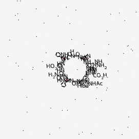 CC[C@H](C)[C@H](NC(C)=O)C(=O)N[C@H]1CSSC[C@@H](C(=O)N[C@@H](C(=O)O)[C@@H](C)O)NC(=O)[C@H](CCCNC(=N)N)NC(=O)[C@@H](Cc2cnc[nH]2)NC(=O)[C@@H](C)NC(=O)CNC(=O)[C@H](Cc2c[nH]c3ccccc23)NC(=O)[C@@H](CC(=O)O)NC(=O)[C@H](CCC(N)=O)NC(=O)[C@@H](Cc2c[nH]c3ccccc23)NC(=O)[C@H](C(C)C)NC1=O